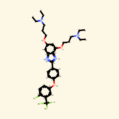 CCN(CC)CCCOc1cc(OCCCN(CC)CC)c2nc(-c3ccc(Oc4ccc(F)c(C(F)(F)F)c4)cc3)[nH]c2c1